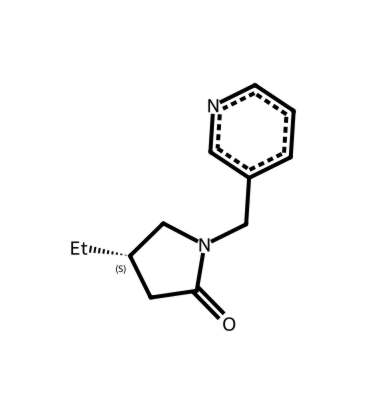 CC[C@H]1CC(=O)N(Cc2cccnc2)C1